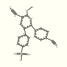 COc1nc(-c2ccc(C#N)cc2)c(-c2ccc(S(C)(=O)=O)cc2)cc1C#N